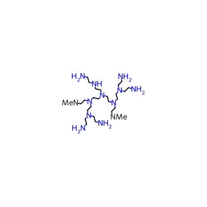 CNCCN(CCN(CCN)CCN)CCN(CCNCCN)CCN(CCNC)CCN(CCN)CCN